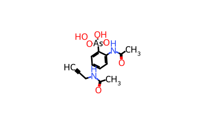 C#CCNC(C)=O.CC(=O)Nc1ccccc1[As](=O)(O)OO